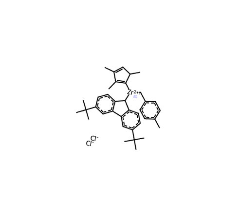 CC1=CC(C)[C](/[Zr+2](=[CH]/c2ccc(C)cc2)[CH]2c3ccc(C(C)(C)C)cc3-c3cc(C(C)(C)C)ccc32)=C1C.[Cl-].[Cl-]